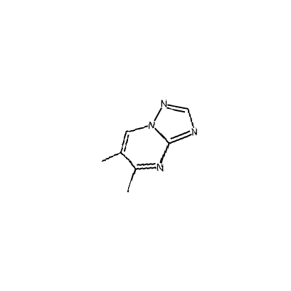 Cc1cn2ncnc2nc1C